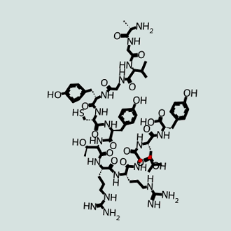 CC(C)C[C@H](NC(=O)[C@H](CCCNC(=N)N)NC(=O)[C@H](CCCNC(=N)N)NC(=O)[C@@H](NC(=O)[C@H](Cc1ccc(O)cc1)NC(=O)[C@H](CS)NC(=O)[C@H](Cc1ccc(O)cc1)NC(=O)CNC(=O)[C@@H](NC(=O)CNC(=O)[C@H](C)N)C(C)C)[C@@H](C)O)C(=O)N[C@@H](CC(=O)O)C(=O)N[C@@H](Cc1ccc(O)cc1)C(=O)O